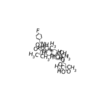 CC(C)C1=C2[C@H]3CC[C@@H]4[C@@]5(C)CC[C@H](OC(=O)CC(C)(C)C(=O)O)C(C)(C)[C@@H]5CC[C@@]4(C)[C@]3(C)CC[C@@]2(NC(=O)c2ccc(F)cc2)CC1=O